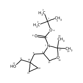 CC(C)(C)OC(=O)N1C(CC2(CO)CC2)COC1(C)C